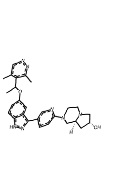 Cc1cnnc(C)c1C(C)Oc1ccc2[nH]nc(-c3ccc(N4CCN5C[C@H](O)C[C@H]5C4)nc3)c2c1